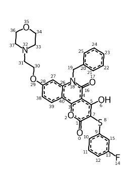 O=c1oc2c(c(O)c1Sc1cccc(F)c1)c(=O)n(Cc1ccccc1)c1cc(OCCN3CCOCC3)ccc21